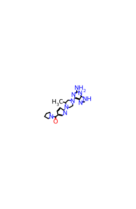 CC1CN(c2nc(N)nc3[nH]cnc23)CCN1c1ccc(C(=O)N2CCCC2)cn1